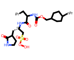 CCCC1CCC(COC(=O)NC(CC(C)C)C(=O)N[C@@H](CC2CCNC2=O)CS(=O)(=O)OO)CC1